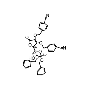 N#Cc1ccc(COC2=C(OCc3ccc(C#N)cc3)[C@@H]([C@H](CO)OP(=O)(OCc3ccccc3)OCc3ccccc3)OC2=O)cc1